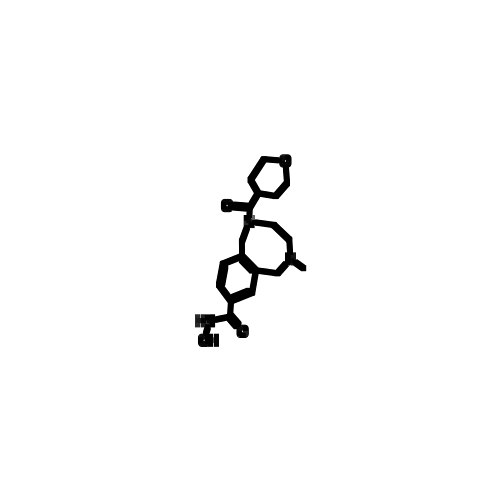 CN1CCN(C(=O)C2CCOCC2)Cc2ccc(C(=O)NO)cc2C1